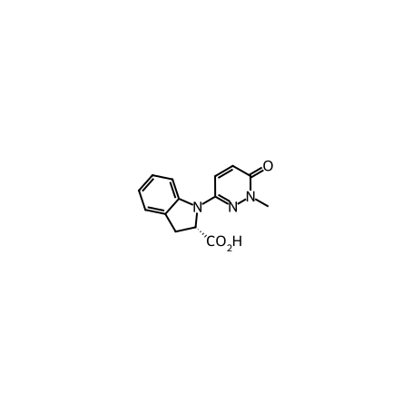 Cn1nc(N2c3ccccc3C[C@H]2C(=O)O)ccc1=O